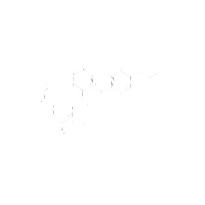 CCSc1ccc(Cc2ccccc2O[C@H]2S[C@@H](CO)[C@@H](O)[C@H](O)[C@H]2O)cc1